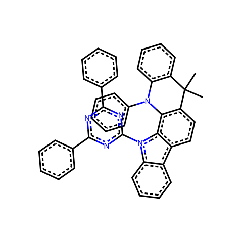 CC1(C)c2ccccc2N(c2ccccc2)c2c1ccc1c3ccccc3n(-c3nc(-c4ccccc4)nc(-c4ccccc4)n3)c21